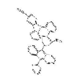 N#Cc1ccc2c(c1)c1ccccc1n2-c1ccccc1-c1ccc(-c2c3ccccc3c(-c3ccccc3)c3ccccc23)cc1C#N